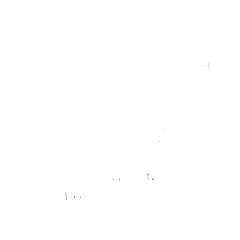 N[C@H](COCCO)CSC(c1ccccc1)(c1ccccc1)c1ccc(CO)cc1